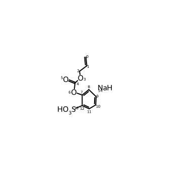 C=CCOC(=O)Oc1ccccc1S(=O)(=O)O.[NaH]